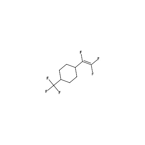 FC(F)=C(F)C1CCC(C(F)(F)F)CC1